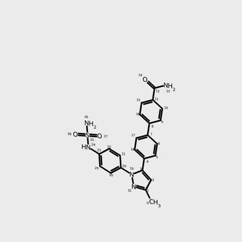 Cc1cc(-c2ccc(-c3ccc(C(N)=O)cc3)cc2)n(-c2ccc(NS(N)(=O)=O)cc2)n1